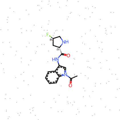 CC(=O)n1cc(NC(=O)[C@@H]2C[C@@H](F)CN2)c2ccccc21